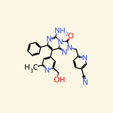 Cc1cc(-c2c(-c3ccccc3)nc(N)n3c(=O)n(Cc4ccc(C#N)cn4)nc23)cc(CO)n1